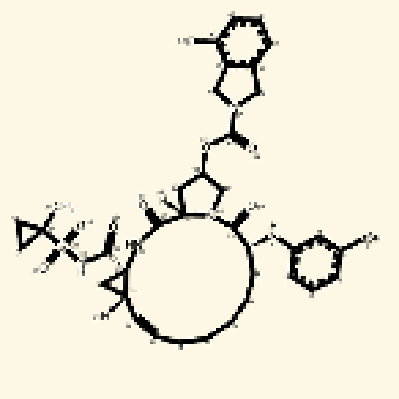 CC(C)(C)c1cccc(N[C@H]2CCCCC/C=C\[C@@H]3C[C@@]3(C(=O)NS(=O)(=O)C3(C)CC3)NC(=O)[C@@H]3C[C@@H](OC(=O)N4Cc5cccc(F)c5C4)CN3C2=O)c1